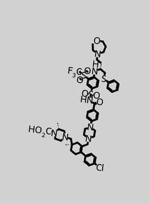 C[C@@H]1CN(C[C@]2(C)CCC(c3ccc(Cl)cc3)=C(CN3CCN(c4ccc(C(=O)NS(=O)(=O)c5ccc(N[C@H](CCN6CCCOCC6)CSc6ccccc6)c(S(=O)(=O)C(F)(F)F)c5)cc4)CC3)C2)CCN1C(=O)O